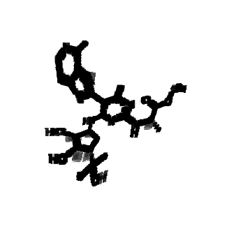 Cc1nc(N[C@@H](C)C(=O)OC(C)(C)C)nc(N[C@@H]2C[C@H](C(C)(C)O)[C@@H](O)[C@H]2O)c1-c1nc2c(C)nccc2s1